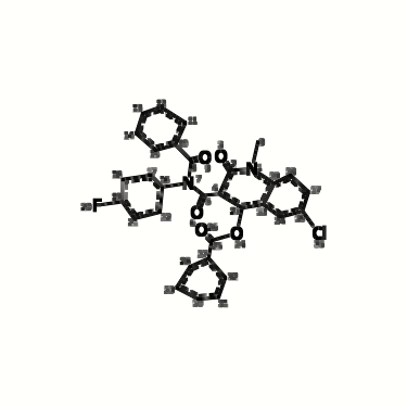 Cn1c(=O)c(C(=O)N(C(=O)c2ccccc2)c2ccc(F)cc2)c(OC(=O)c2ccccc2)c2cc(Cl)ccc21